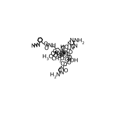 CC(C)(C)OC(=O)NC(CCCCNC(=O)OCc1ccccc1N=[N+]=[N-])C(=O)O[C@H]1[C@@H](O)[C@H](n2cnc3c(N)ncnc32)O[C@H]1COP(=O)(O)O[C@H]1C[C@H](n2ccc(N)nc2=O)O[C@@H]1COP(=O)(O)O